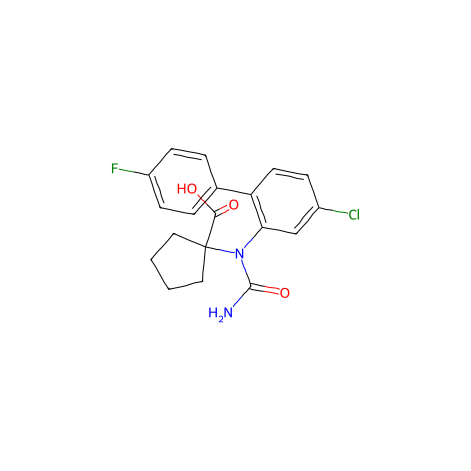 NC(=O)N(c1cc(Cl)ccc1-c1ccc(F)cc1)C1(C(=O)O)CCCC1